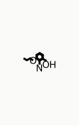 CCCOc1cccc(CO)c1C#N